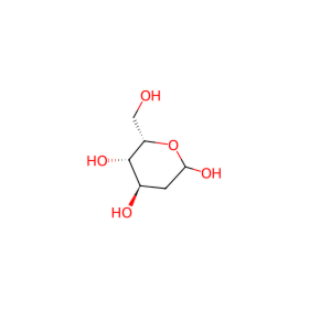 OC[C@@H]1OC(O)C[C@@H](O)[C@@H]1O